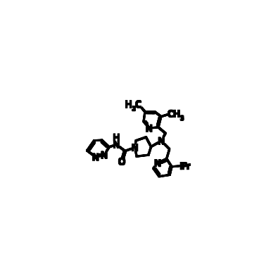 Cc1cnc(CN(Cc2ncccc2C(C)C)C2CCN(C(=O)Nc3cccnn3)CC2)c(C)c1